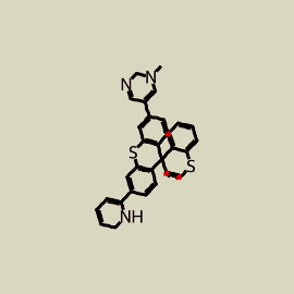 CN1C=C(c2ccc3c(c2)Sc2cc(C4=CC=CCN4)ccc2C32c3ccccc3Sc3ccccc32)C=NC1